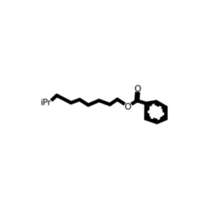 CC(C)CCCCCCCOC(=O)c1ccccc1